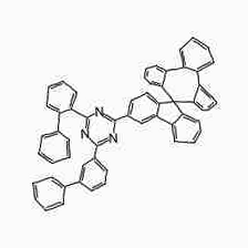 c1ccc(-c2cccc(-c3nc(-c4ccc5c(c4)-c4ccccc4C54c5ccccc5-c5ccccc5-c5ccccc54)nc(-c4ccccc4-c4ccccc4)n3)c2)cc1